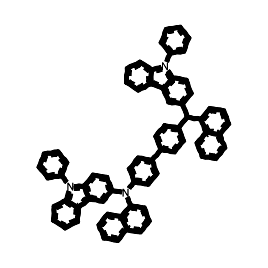 c1ccc(-n2c3ccccc3c3cc(C(c4ccc(-c5ccc(N(c6ccc7c(c6)c6ccccc6n7-c6ccccc6)c6cccc7ccccc67)cc5)cc4)c4cccc5ccccc45)ccc32)cc1